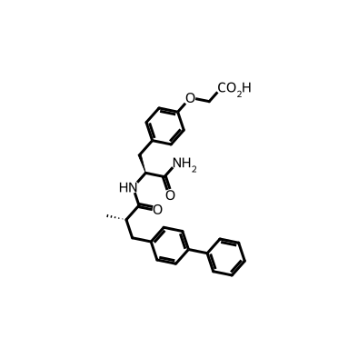 C[C@@H](Cc1ccc(-c2ccccc2)cc1)C(=O)N[C@@H](Cc1ccc(OCC(=O)O)cc1)C(N)=O